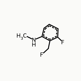 CNc1cccc(F)c1CF